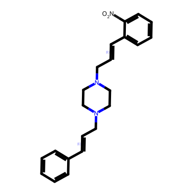 O=[N+]([O-])c1ccccc1/C=C/CN1CCN(C/C=C/c2ccccc2)CC1